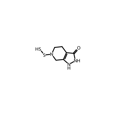 O=c1[nH][nH]c2c1CCN(SS)C2